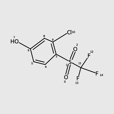 O=S(=O)(c1ccc(O)cc1Cl)C(F)(F)F